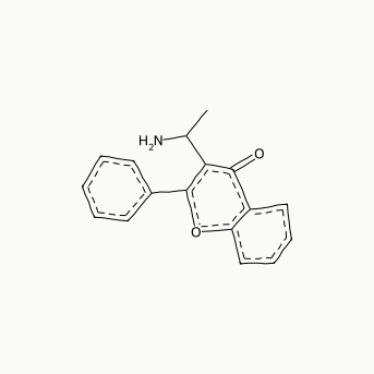 CC(N)c1c(-c2ccccc2)oc2ccccc2c1=O